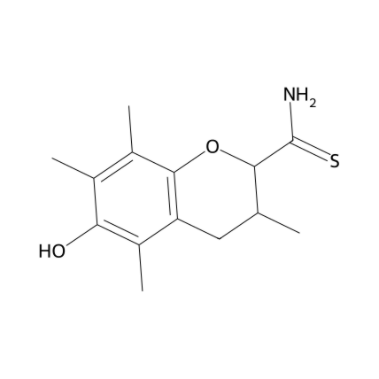 Cc1c(C)c2c(c(C)c1O)CC(C)C(C(N)=S)O2